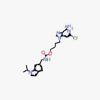 CC(C)n1ccc2ccc(CNC(=O)OCCCCn3cnc4c(N)nc(Cl)cc43)cc21